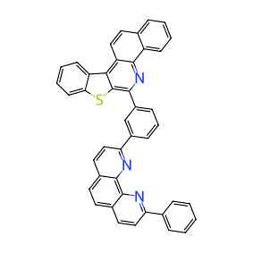 c1ccc(-c2ccc3ccc4ccc(-c5cccc(-c6nc7c8ccccc8ccc7c7c6sc6ccccc67)c5)nc4c3n2)cc1